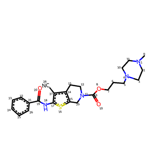 CN1CCN(CCCOC(=O)N2CCc3c(sc(NC(=O)c4ccccc4)c3C#N)C2)CC1